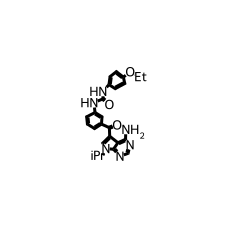 CCOc1ccc(NC(=O)Nc2cccc(C(=O)c3cn(C(C)C)c4ncnc(N)c34)c2)cc1